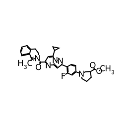 COC(=O)C1CCCN(c2ccc(-c3cc4nc(C(=O)N5CCc6ccccc6[C@H]5C)cc(C5CC5)n4n3)c(F)c2)C1